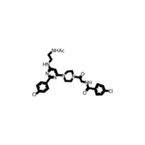 CC(=O)NCCNc1cc(N2CCN(C(=O)CNC(=O)c3ccc(Cl)cc3)CC2)nc(-c2ccc(Cl)cc2)n1